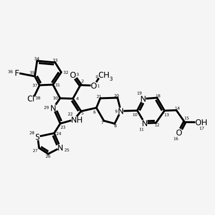 COC(=O)C1=C(C2CCN(c3ncc(CC(=O)O)cn3)CC2)NC(c2nccs2)=NC1c1cccc(F)c1Cl